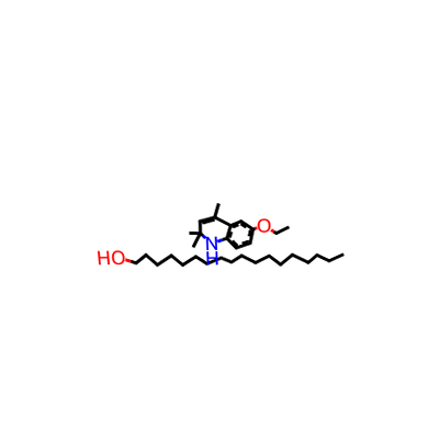 CCCCCCCCCCCCCCCCCCO.CCOc1ccc2c(c1)C(C)=CC(C)(C)N2